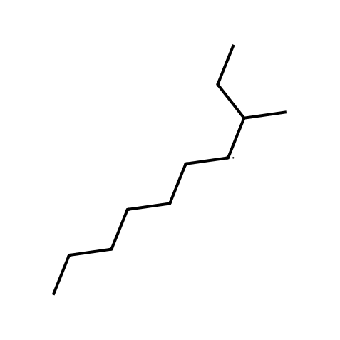 CCCCCC[CH]C(C)CC